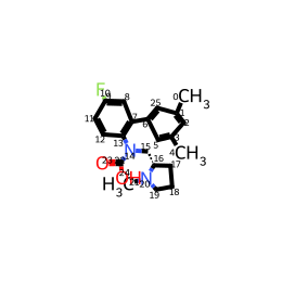 Cc1cc(C)cc(-c2cc(F)ccc2N(C[C@@H]2CCCN2C)C(=O)O)c1